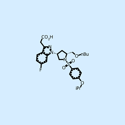 CCCCOC[C@H]1C[C@@H](n2nc(CC(=O)O)c3ccc(F)cc32)CN1S(=O)(=O)c1ccc(OC(C)C)cc1